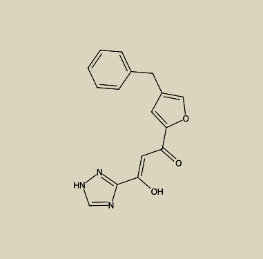 O=C(C=C(O)c1nc[nH]n1)c1cc(Cc2ccccc2)co1